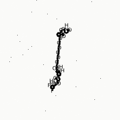 O=C1CCC(N2C(=O)c3cccc(OCCOCCOCCOCCOCCOCCNC(=O)c4cc5cc(N6CCC(O)(C(=O)NCc7cc(F)cc(F)c7)C6=O)ccc5[nH]4)c3C2=O)C(=O)N1